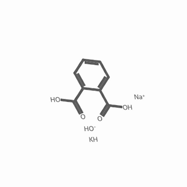 O=C(O)c1ccccc1C(=O)O.[KH].[Na+].[OH-]